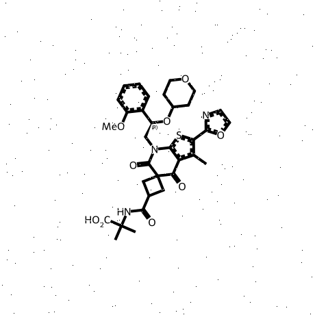 COc1ccccc1[C@H](CN1C(=O)C2(CC(C(=O)NC(C)(C)C(=O)O)C2)C(=O)c2c1sc(-c1ncco1)c2C)OC1CCOCC1